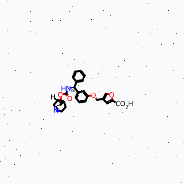 O=C(N[C@@H](c1ccccc1)c1cccc(OCc2coc(C(=O)O)c2)c1)O[C@H]1CN2CCC1CC2